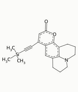 C[Si](C)(C)C#Cc1cc(=O)oc2c3c4c(cc12)CCCN4CCC3